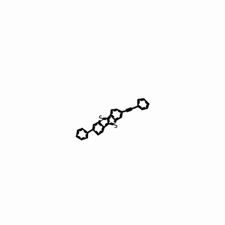 C(#Cc1ccc2c(c1)sc1c3ccc(-c4ccccc4)cc3sc21)c1ccccc1